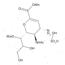 COC(=O)C1=C[C@H](N)[C@@H](NC(C)=O)[C@H](C(OC)C(O)CO)O1.O=S(=O)(O)O